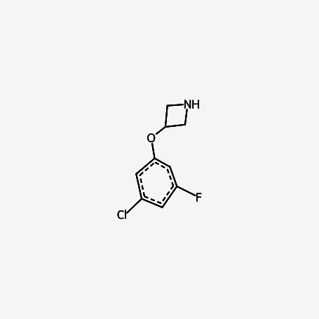 Fc1cc(Cl)cc(OC2CNC2)c1